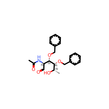 CC(=O)N[C@H](C=O)[C@H](OCc1ccccc1)[C@H](OCc1ccccc1)[C@H](C)O